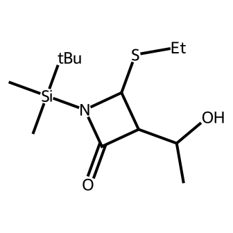 CCSC1C(C(C)O)C(=O)N1[Si](C)(C)C(C)(C)C